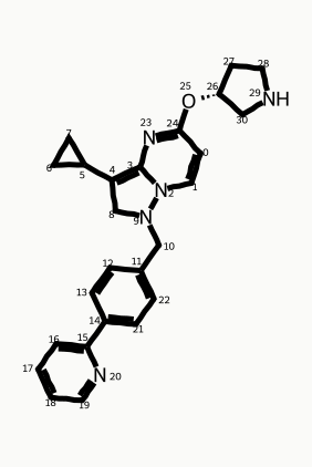 C1=CN2C(=C(C3CC3)CN2Cc2ccc(-c3ccccn3)cc2)N=C1O[C@@H]1CCNC1